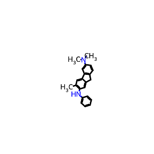 Cc1cc2c(cc1Nc1ccccc1)Cc1ccc(N(C)C)cc1-2